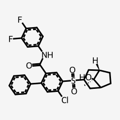 C[C@@]1(O)C2CC[C@H]1CC(S(=O)(=O)c1cc(C(=O)Nc3ccc(F)c(F)c3)c(-c3ccccc3)cc1Cl)C2